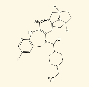 CO[C@@H]1CC[C@@H]2CC[C@H](C1)N2c1ccc2c(c1)N(C(=O)C1CCN(CC(F)(F)F)CC1)Cc1cc(F)cnc1N2